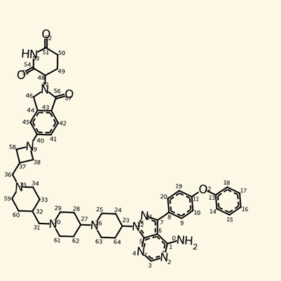 Nc1ncnc2c1c(-c1ccc(Oc3ccccc3)cc1)nn2C1CCN(C2CCN(CC3CCN(CC4CN(c5ccc6c(c5)CN(C5CCC(=O)NC5=O)C6=O)C4)CC3)CC2)CC1